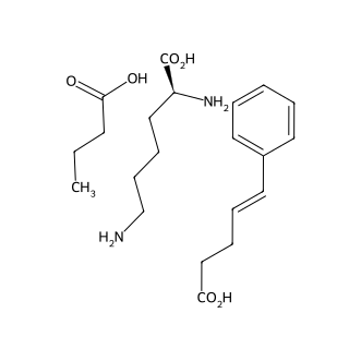 CCCC(=O)O.NCCCC[C@H](N)C(=O)O.O=C(O)CCC=Cc1ccccc1